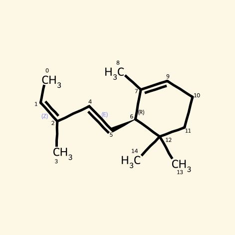 C/C=C(C)\C=C\[C@H]1C(C)=CCCC1(C)C